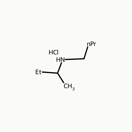 CCCCNC(C)CC.Cl